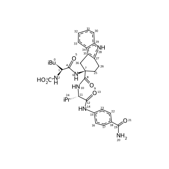 CC[C@H](C)[C@H](NC(=O)O)C(=O)N[C@]1(C(=O)N[C@H](C(=O)Nc2ccc(C(N)=O)cc2)C(C)C)CCc2[nH]c3ccccc3c2C1